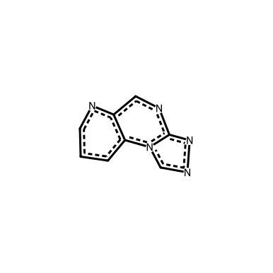 c1cnc2cnc3nncn3c2c1